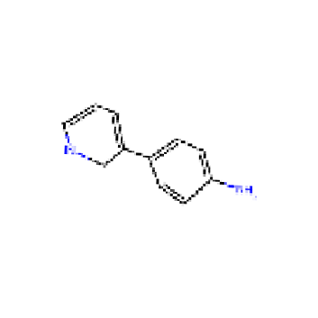 Nc1ccc(C2=CC=CNC2)cc1